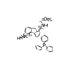 CCCCCCCCCCC(C)N[Si](C)(C)c1cccc2c1Cc1ccccc1-2.[H-].[H-].[H-].[Sc+3].c1ccc(P(c2ccccc2)c2ccccc2)cc1